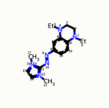 CCN1CCN(CC)c2cc(/N=N/c3n(C)cc[n+]3C)ccc21